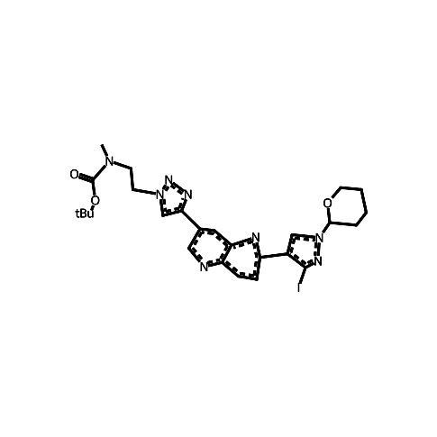 CN(CCn1cc(-c2cnc3ccc(-c4cn(C5CCCCO5)nc4I)nc3c2)nn1)C(=O)OC(C)(C)C